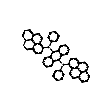 C1=CC2CC=c3ccc(N(c4ccccc4)c4c5ccccc5c(N(c5ccccc5)c5ccc6ccc7cccc8ccc5c6c78)c5ccccc45)c4ccc(c2c34)=C1